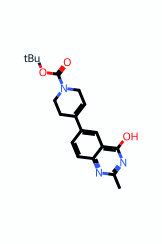 Cc1nc(O)c2cc(C3=CCN(C(=O)OC(C)(C)C)CC3)ccc2n1